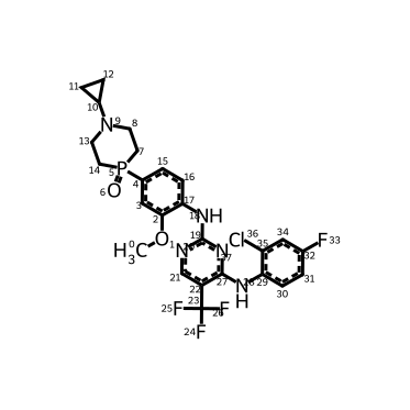 COc1cc(P2(=O)CCN(C3CC3)CC2)ccc1Nc1ncc(C(F)(F)F)c(Nc2ccc(F)cc2Cl)n1